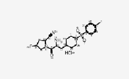 Cc1ccc(S(=O)(=O)N2CCC(CC(N)C(=O)N3CC(F)CC3C#N)CC2)cc1.Cl